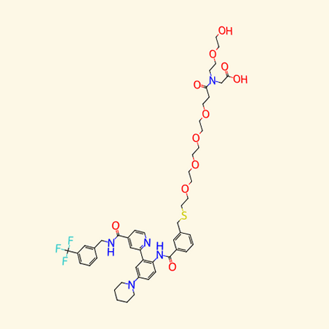 O=C(O)CN(CCOCCO)C(=O)CCOCCOCCOCCOCCSCc1cccc(C(=O)Nc2ccc(N3CCCCC3)cc2-c2cc(C(=O)NCc3cccc(C(F)(F)F)c3)ccn2)c1